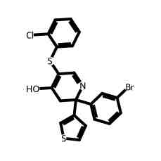 OC1=C(Sc2ccccc2Cl)C=NC(c2ccsc2)(c2cccc(Br)c2)C1